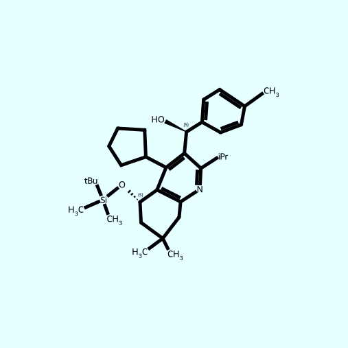 Cc1ccc([C@H](O)c2c(C(C)C)nc3c(c2C2CCCC2)[C@@H](O[Si](C)(C)C(C)(C)C)CC(C)(C)C3)cc1